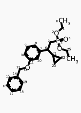 CCOP(=O)(CC(c1cccc(OCc2ccccc2)c1)C1CC1)OCC